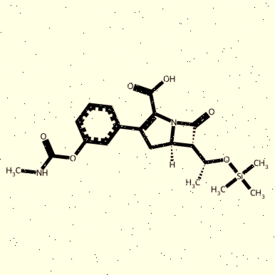 CNC(=O)Oc1cccc(C2=C(C(=O)O)N3C(=O)[C@H]([C@@H](C)O[Si](C)(C)C)[C@H]3C2)c1